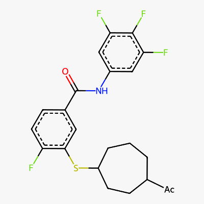 CC(=O)C1CCCC(Sc2cc(C(=O)Nc3cc(F)c(F)c(F)c3)ccc2F)CC1